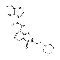 O=C(Nc1cccc2c(=O)n(CCN3CCOCC3)ccc12)c1cccc2ccccc12